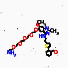 COc1cc2nc(C)nc(NCCc3ccc(-c4ccccc4C=O)s3)c2cc1OCCOCCOCCOCCOCCN